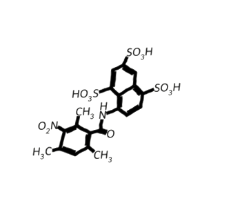 Cc1cc(C)c([N+](=O)[O-])c(C)c1C(=O)Nc1ccc(S(=O)(=O)O)c2cc(S(=O)(=O)O)cc(S(=O)(=O)O)c12